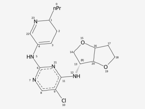 CCCC1CC=C(Nc2ncc(Cl)c(N[C@@H]3COC4CCOC43)n2)C=N1